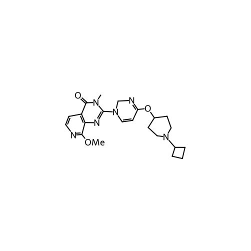 COc1nccc2c(=O)n(C)c(N3C=CC(OC4CCN(C5CCC5)CC4)=NC3)nc12